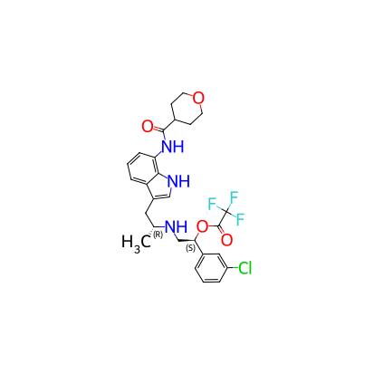 C[C@H](Cc1c[nH]c2c(NC(=O)C3CCOCC3)cccc12)NC[C@@H](OC(=O)C(F)(F)F)c1cccc(Cl)c1